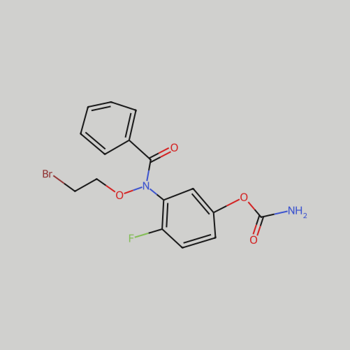 NC(=O)Oc1ccc(F)c(N(OCCBr)C(=O)c2ccccc2)c1